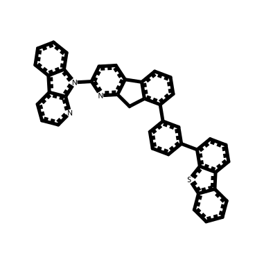 c1cc(-c2cccc3c2Cc2nc(-n4c5ccccc5c5cccnc54)ccc2-3)cc(-c2cccc3c2sc2ccccc23)c1